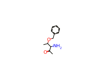 CC(=O)C(N)C(C)OCc1ccccc1